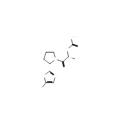 CCc1cnc([C@@H]2CCCN2C(=O)[C@@H](NC(=O)OC)C(C)C)[nH]1